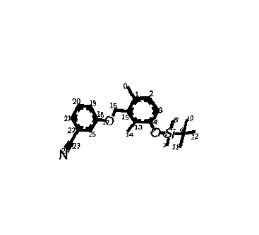 Cc1ccc(O[Si](C)(C)C(C)(C)C)c(C)c1COc1cccc(C#N)c1